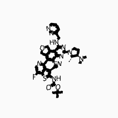 C[C@H]1[C@@H](N(C)C)CCN1c1nc(NCc2cccnn2)c2c3c(c(-c4ncc(F)c5sc(NC(=O)OC(C)(C)C)c(C#N)c45)c(F)c2n1)COC3